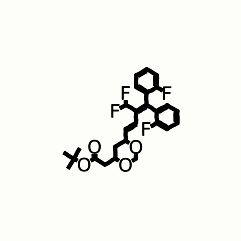 CC(C)(C)OC(=O)CC1CC(/C=C/C(=C(c2ccccc2F)c2ccccc2F)C(F)F)OCO1